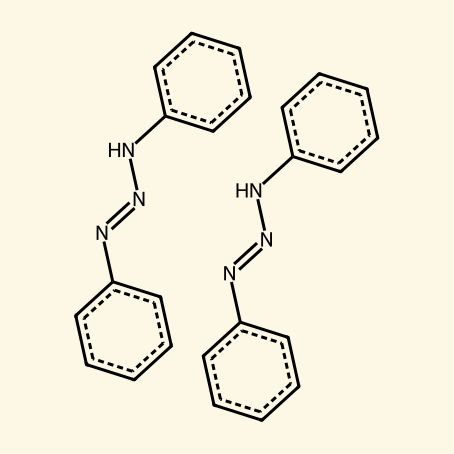 c1ccc(N=NNc2ccccc2)cc1.c1ccc(N=NNc2ccccc2)cc1